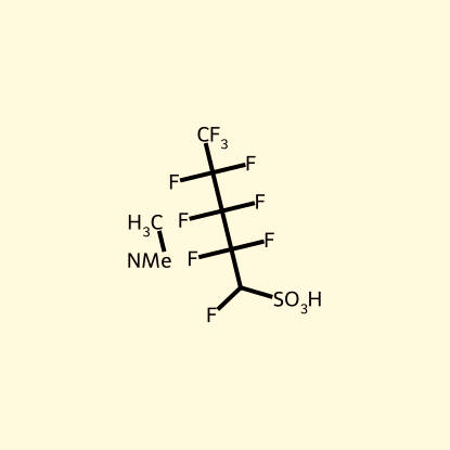 CNC.O=S(=O)(O)C(F)C(F)(F)C(F)(F)C(F)(F)C(F)(F)F